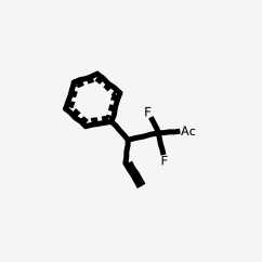 C=CC(c1ccccc1)C(F)(F)C(C)=O